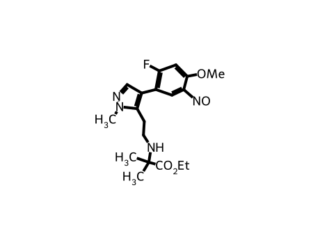 CCOC(=O)C(C)(C)NCCc1c(-c2cc(N=O)c(OC)cc2F)cnn1C